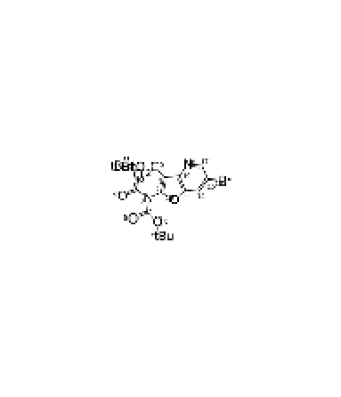 CCOC(=O)c1c(N(C(=O)OC(C)(C)C)C(=O)OC(C)(C)C)oc2cc(Br)cnc12